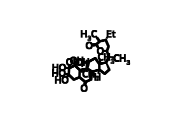 CC[C@@H]1CC([C@@H](C)[C@H]2CC[C@H]3C4=CC(=O)C5CC(O)(O)C(O)(O)C(O)(O)[C@]5(C)[C@H]4CC[C@]23C)OC(=O)C1C